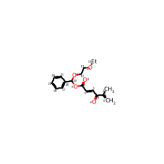 C=C(C)C(=O)C=CC(=O)OC(OCCOCC)c1ccccc1